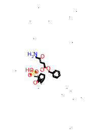 CC1(C)C2CC[C@@]1(CS(=O)(=O)O)C(=O)C2.NCC(=O)CCC(=O)OCc1ccccc1